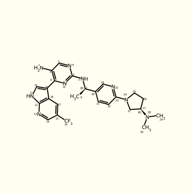 C[C@@H](Nc1ncc(N)c(-c2c[nH]c3ncc(C(F)(F)F)cc23)n1)c1ccc(N2CC[C@@H](N(C)C)C2)nc1